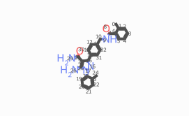 Cc1ccccc1C(=O)NCc1ccc(-c2nn(-c3ccccc3C)c(N)c2C(N)=O)cc1